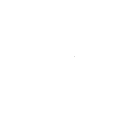 CCCc1c(OCCCCCOC2COC(C(=O)OC)CC2O)ccc(C(C)=O)c1O